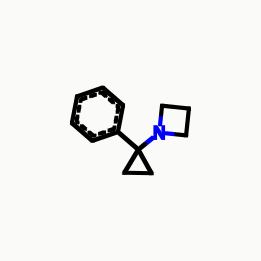 c1ccc(C2(N3CCC3)CC2)cc1